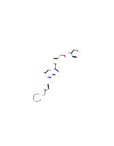 Cc1cn2c(-c3ncc(CC(=O)Nc4ccncc4F)s3)cnc2c(Nc2cc(CN3CCCCC3)ns2)n1